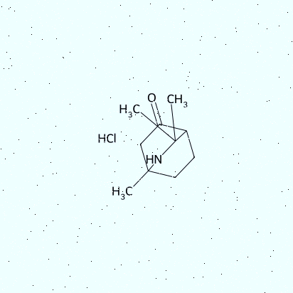 CC12CCC(C(=O)C1)C(C)(C)N2.Cl